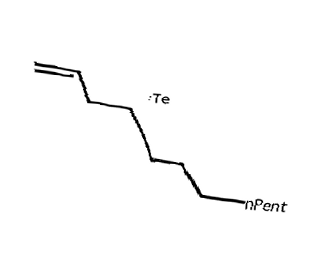 C=CCCCCCCCCCC.[Te]